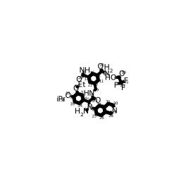 CCOc1cc(C(C(=O)NCc2cc(C(N)=O)cc(C(N)=O)c2)N(N)c2ccc3cnccc3c2)ccc1OC(C)C.O=C(O)C(F)(F)F